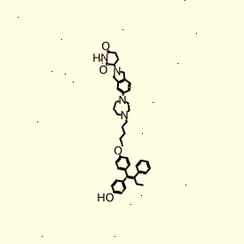 CCC(=C(c1ccc(O)cc1)c1ccc(OCCCCCN2CCCN(c3ccc4c(c3)CN(C3CCC(=O)NC3=O)C4)CC2)cc1)c1ccccc1